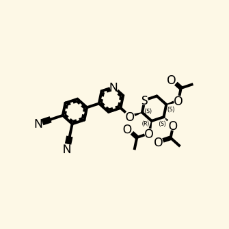 CC(=O)O[C@@H]1[C@@H](OC(C)=O)[C@@H](Oc2cncc(-c3ccc(C#N)c(C#N)c3)c2)SC[C@H]1OC(C)=O